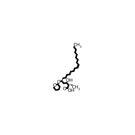 CCCCCCCC/C=C\CCCCCCC[C@@H](C[C@H](O)[C@H](CC)C(=O)O)OC1CCCCO1